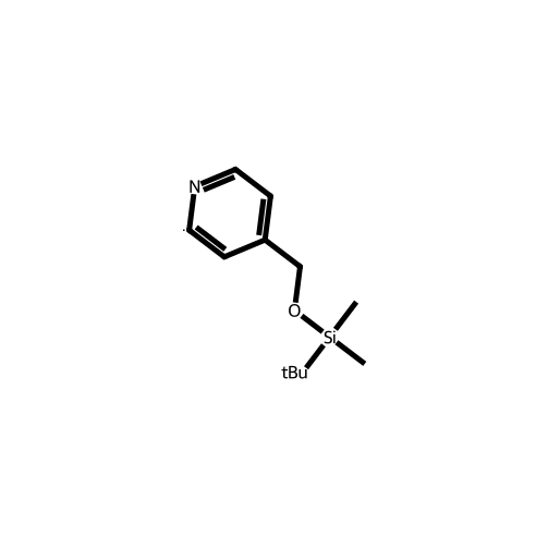 CC(C)(C)[Si](C)(C)OCc1c[c]ncc1